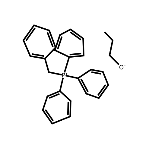 CCC[O-].c1ccc(C[P+](c2ccccc2)(c2ccccc2)c2ccccc2)cc1